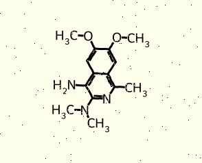 COc1cc2c(C)nc(N(C)C)c(N)c2cc1OC